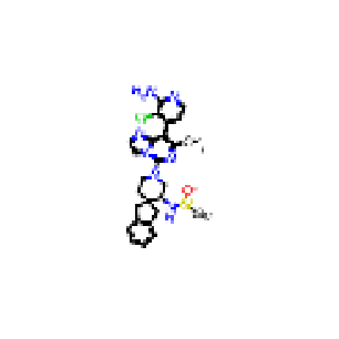 Cc1nc(N2CCC3(Cc4ccccc4C3)C(N[S+]([O-])C(C)(C)C)C2)n2ccnc2c1-c1ccnc(N)c1Cl